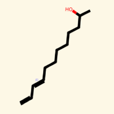 C=C/C=C/CCCCCCC(C)O